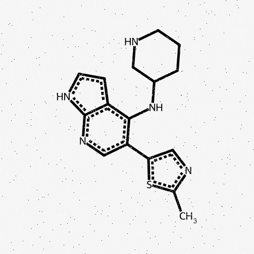 Cc1ncc(-c2cnc3[nH]ccc3c2NC2CCCNC2)s1